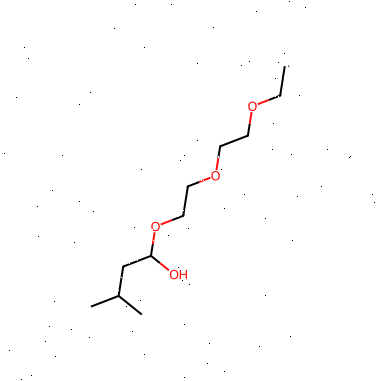 [CH2]COCCOCCOC(O)CC(C)C